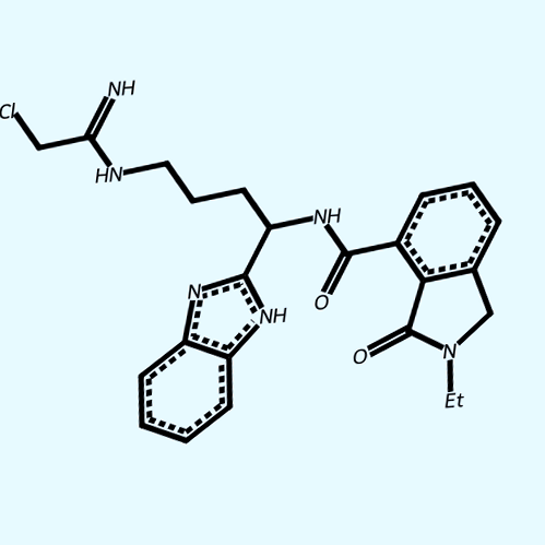 CCN1Cc2cccc(C(=O)NC(CCCNC(=N)CCl)c3nc4ccccc4[nH]3)c2C1=O